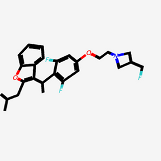 CC(C)Cc1oc2ccccc2c1C(C)c1c(F)cc(OCCN2CC(CF)C2)cc1F